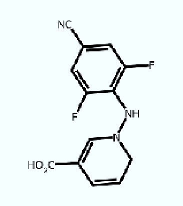 N#Cc1cc(F)c(NN2C=C(C(=O)O)C=CC2)c(F)c1